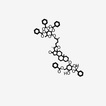 CC1O[C@@H](OC[C@@H](C)CCC(=O)[C@@H](C)C2C(=O)CC3C4CCC5CC(O[C@@H]6CC(COC(=O)c7ccccc7)[C@H](O)C(OC(=O)c7ccccc7)C6O)CCC5(C)C4CCC32C)C(OC(=O)c2ccccc2)C(OC(=O)c2ccccc2)[C@@H]1OC(=O)c1ccccc1